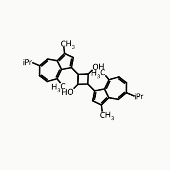 Cc1cc(C2C(O)C(c3cc(C)c4cc(C(C)C)ccc(C)c3-4)C2O)c2c(C)ccc(C(C)C)cc1-2